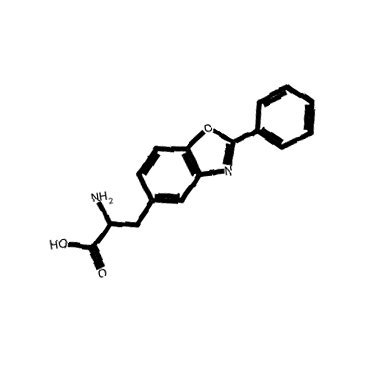 NC(Cc1ccc2oc(-c3ccccc3)nc2c1)C(=O)O